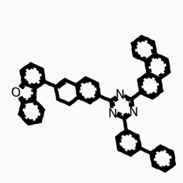 C1=C(c2cccc3oc4ccccc4c23)CCc2cc(-c3nc(-c4cccc(-c5ccccc5)c4)nc(-c4ccc5ccc6ccccc6c5c4)n3)ccc21